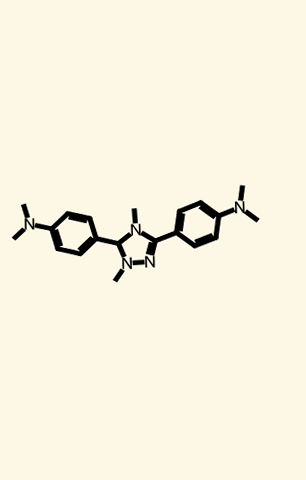 CN(C)c1ccc(C2=NN(C)C(c3ccc(N(C)C)cc3)N2C)cc1